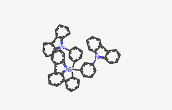 c1ccc([Si](c2cccc(-n3c4ccccc4c4ccccc43)c2)(c2cccc(-n3c4ccccc4c4ccccc43)c2)n2c3ccccc3c3ccccc32)cc1